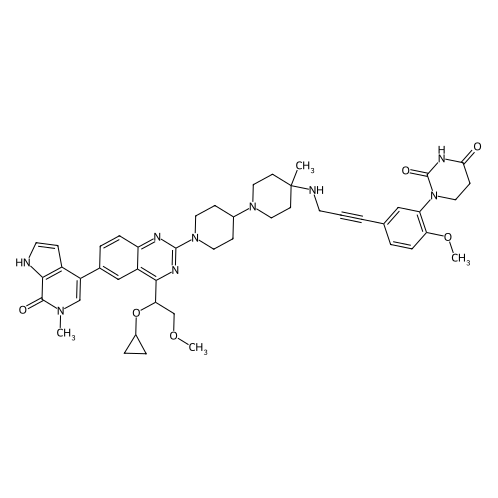 COCC(OC1CC1)c1nc(N2CCC(N3CCC(C)(NCC#Cc4ccc(OC)c(N5CCC(=O)NC5=O)c4)CC3)CC2)nc2ccc(-c3cn(C)c(=O)c4[nH]ccc34)cc12